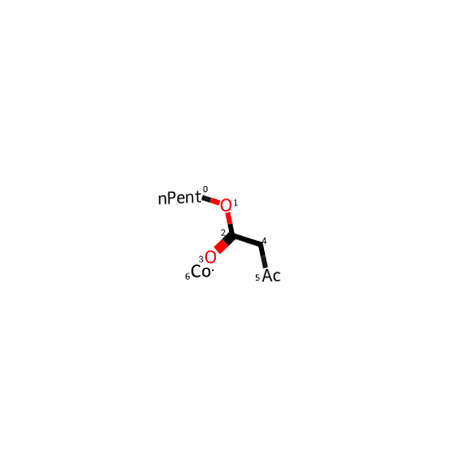 CCCCCOC(=O)CC(C)=O.[Co]